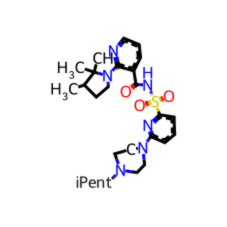 CCCC(C)N1CCN(c2cccc(S(=O)(=O)NC(=O)c3cccnc3N3CCC(C)C3(C)C)n2)CC1